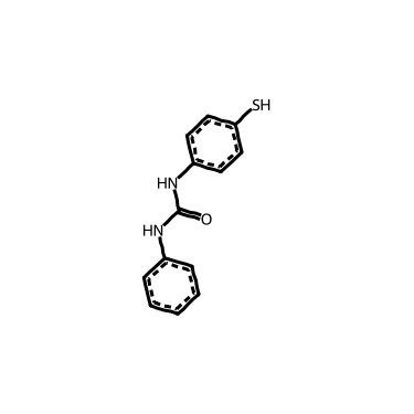 O=C(Nc1ccccc1)Nc1ccc(S)cc1